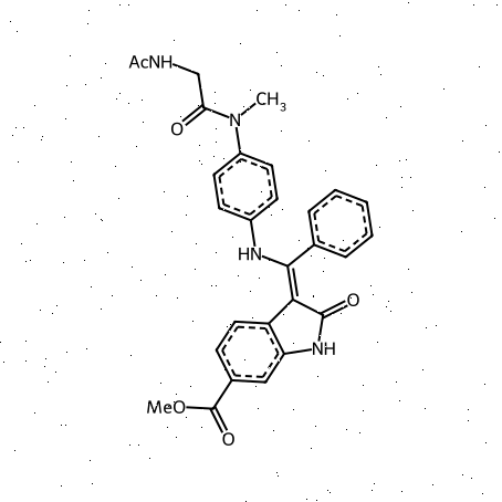 COC(=O)c1ccc2c(c1)NC(=O)C2=C(Nc1ccc(N(C)C(=O)CNC(C)=O)cc1)c1ccccc1